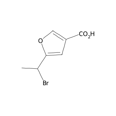 CC(Br)c1cc(C(=O)O)co1